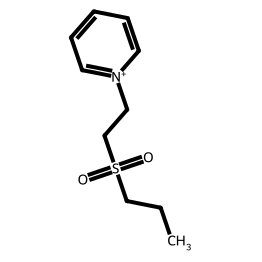 CCCS(=O)(=O)CC[n+]1ccccc1